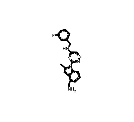 Cc1cc2c(CN)cccc2n1-c1nncc(NCc2cccc(F)c2)n1